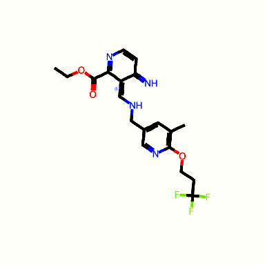 CCOC(=O)C1=NC=CC(=N)/C1=C\NCc1cnc(OCCC(F)(F)F)c(C)c1